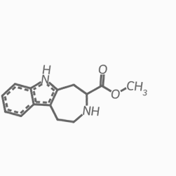 COC(=O)C1Cc2[nH]c3ccccc3c2CCN1